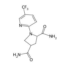 NC(=O)C1CC(C(N)=O)N(c2ccc(C(F)(F)F)cn2)C1